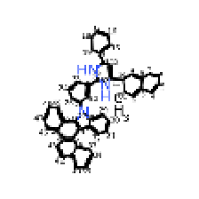 CC1C=c2ccccc2=CC1C1=CC(C2=CC=CCC2)NC(c2cccc(-n3c4ccccc4c4c5c6ccccc6ccc5c5ccccc5c43)c2)N1